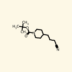 CC(C)(C)OC(=O)N1CCC(CCCC#N)CC1